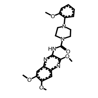 COc1cc2nc(NC(=O)N3CCN(c4ccccc4OC)CC3)c(OC)nc2cc1OC